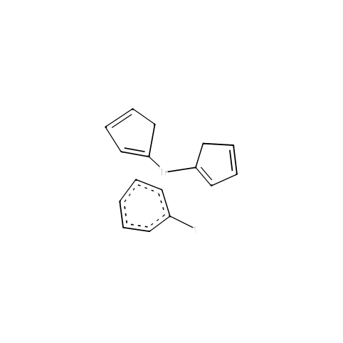 Brc1ccccc1.C1=CC[C]([Ti][C]2=CC=CC2)=C1